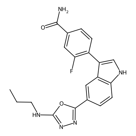 CCCNc1nnc(-c2ccc3[nH]cc(-c4ccc(C(N)=O)cc4F)c3c2)o1